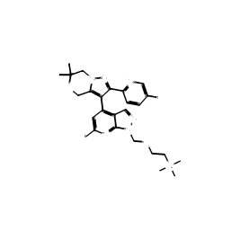 CC1(C)Cn2nc(-c3ccc(F)cn3)c(-c3cc(Cl)nc4c3cnn4COCC[Si](C)(C)C)c2CO1